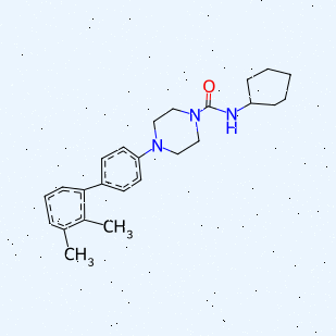 Cc1cccc(-c2ccc(N3CCN(C(=O)NC4CCCCC4)CC3)cc2)c1C